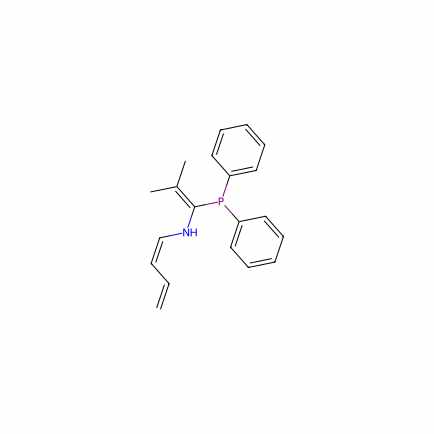 C=C/C=C\NC(=C(C)C)P(c1ccccc1)c1ccccc1